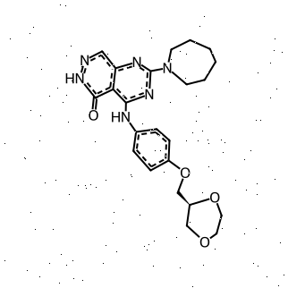 O=c1[nH]ncc2nc(N3CCCCCC3)nc(Nc3ccc(OC[C@@H]4COCCO4)cc3)c12